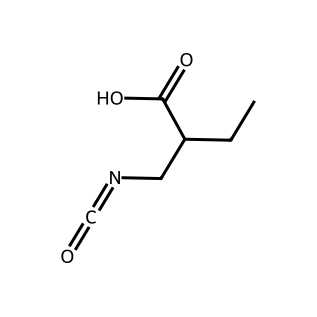 CCC(CN=C=O)C(=O)O